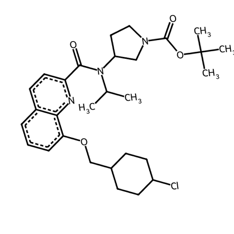 CC(C)N(C(=O)c1ccc2cccc(OCC3CCC(Cl)CC3)c2n1)C1CCN(C(=O)OC(C)(C)C)C1